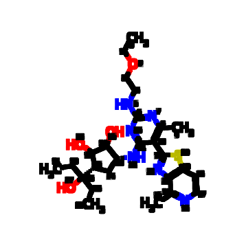 CCOCCNc1nc(C)c(-c2nc3c(C)nccc3s2)c(N[C@@H]2C[C@H](C(O)(CC)CC)[C@@H](O)[C@H]2O)n1